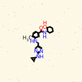 Cc1ccc(C(=O)N[C@H]2CCCC[C@@H]2O)cc1NCc1cnc(NC2CC2)nc1